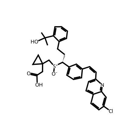 CC(C)(O)c1ccccc1CC[C@H](c1cccc(/C=C\c2ccc3ccc(Cl)cc3n2)c1)[S+]([O-])CC1(CC(=O)O)CC1